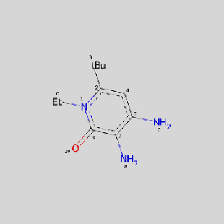 CCn1c(C(C)(C)C)cc(N)c(N)c1=O